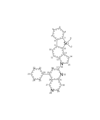 C[Si]1(C)c2ccccc2-c2ccc3c(ccn3-c3cc(-c4ccccc4)c4cnccc4n3)c21